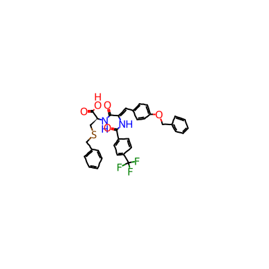 O=C(N[C@@H](CSCc1ccccc1)C(=O)O)C(=Cc1ccc(OCc2ccccc2)cc1)NC(=O)c1ccc(C(F)(F)F)cc1